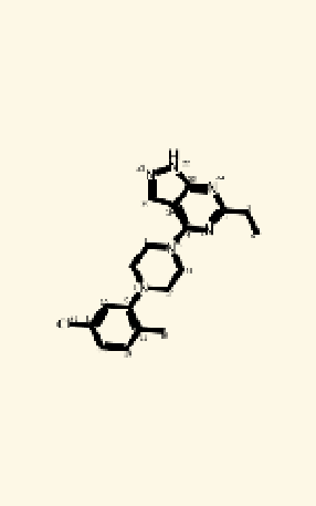 CCc1nc(N2CCN(c3cc(Cl)ccc3C)CC2)c2cn[nH]c2n1